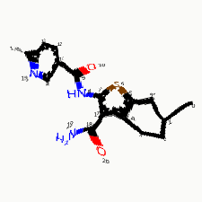 CC1CCc2c(sc(NC(=O)c3cccnc3)c2C(N)=O)C1